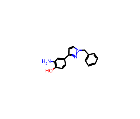 Nc1cc(-c2ccn(Cc3ccccc3)n2)ccc1O